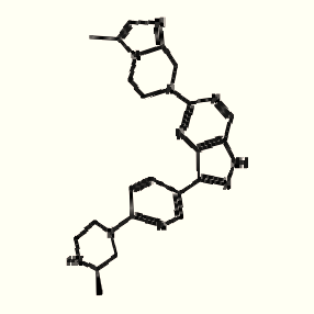 Cc1cnc2n1CCN(c1ncc3[nH]nc(-c4ccc(N5CCN[C@H](C)C5)nc4)c3n1)C2